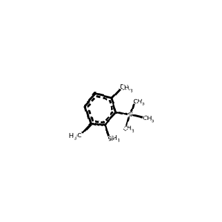 Cc1ccc(C)c([Si](C)(C)C)c1[SiH3]